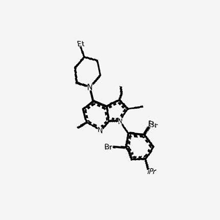 CCC1CCN(c2cc(C)nc3c2c(C)c(C)n3-c2c(Br)cc(C(C)C)cc2Br)CC1